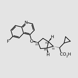 O=C(O)C(C1CC1)[C@@H]1[C@@H]2C[C@@H](Oc3ccnc4ccc(F)cc34)C[C@@H]21